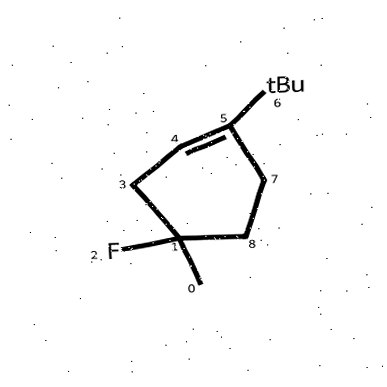 CC1(F)CC=C(C(C)(C)C)CC1